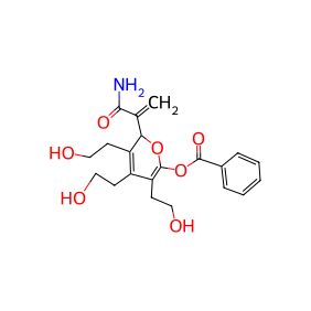 C=C(C(N)=O)C1OC(OC(=O)c2ccccc2)=C(CCO)C(CCO)=C1CCO